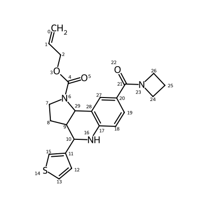 C=CCOC(=O)N1CCC2C(c3ccsc3)Nc3ccc(C(=O)N4CCC4)cc3C21